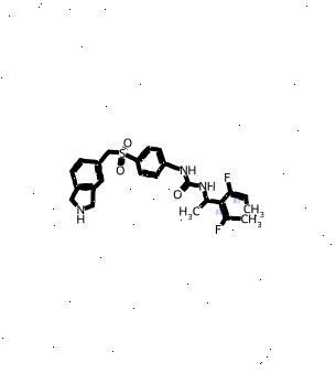 C/C=C(F)\C(=C(/C)F)C(C)NC(=O)Nc1ccc(S(=O)(=O)Cc2ccc3c(c2)CNC3)cc1